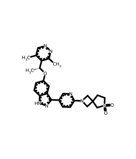 Cc1cnnc(C)c1[C@@H](C)Oc1ccc2[nH]nc(-c3ccc(N4CC5(CCS(=O)(=O)C5)C4)nc3)c2c1